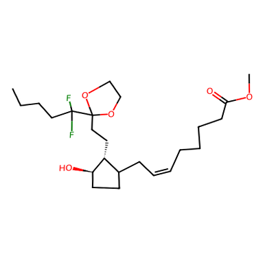 CCCCC(F)(F)C1(CC[C@@H]2C(C/C=C\CCCCC(=O)OC)CC[C@H]2O)OCCO1